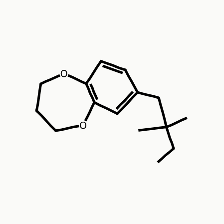 CCC(C)(C)Cc1ccc2c(c1)OCCCO2